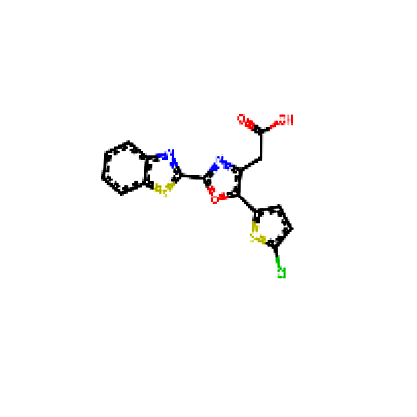 O=C(O)Cc1nc(-c2nc3ccccc3s2)oc1-c1ccc(Cl)s1